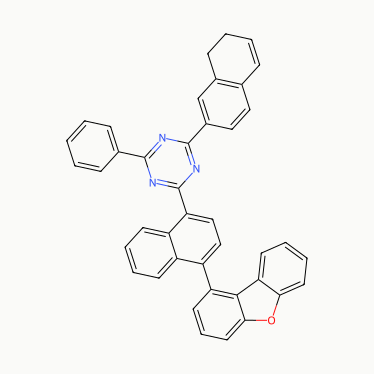 C1=Cc2ccc(-c3nc(-c4ccccc4)nc(-c4ccc(-c5cccc6oc7ccccc7c56)c5ccccc45)n3)cc2CC1